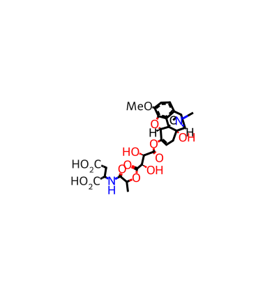 COc1ccc2c3c1O[C@H]1C(OC(=O)[C@H](O)[C@@H](O)C(=O)OC(C)C(=O)NC(CC(=O)O)C(=O)O)=CC[C@@]4(O)[C@@H](C2)N(C)CC[C@]314